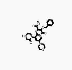 COC(=O)c1nc2c(N3CCNCC3=O)cc(N3CCOCC3)cn2c(=O)c1OCc1ccccc1